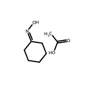 CC(=O)O.ON=C1CCCCC1